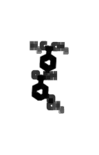 COc1cccc(C(=O)Nc2ccc(C(C)C)cc2)c1